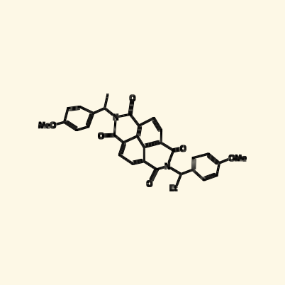 CCC(c1ccc(OC)cc1)N1C(=O)c2ccc3c4c(ccc(c24)C1=O)C(=O)N(C(C)c1ccc(OC)cc1)C3=O